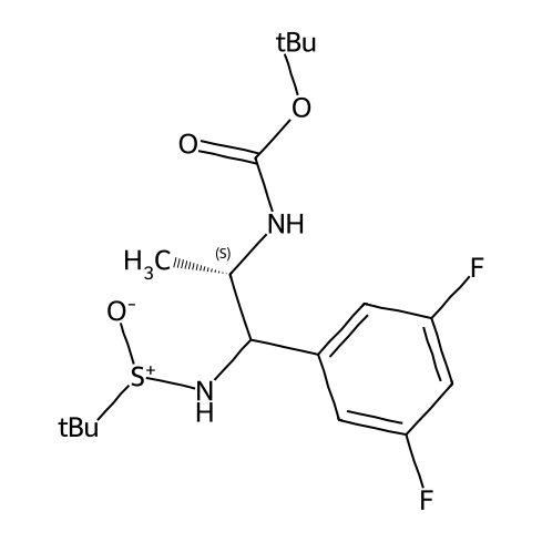 C[C@H](NC(=O)OC(C)(C)C)C(N[S+]([O-])C(C)(C)C)c1cc(F)cc(F)c1